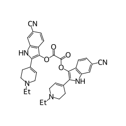 CCN1CC=C(c2[nH]c3cc(C#N)ccc3c2OC(=O)C(=O)Oc2c(C3=CCN(CC)CC3)[nH]c3cc(C#N)ccc23)CC1